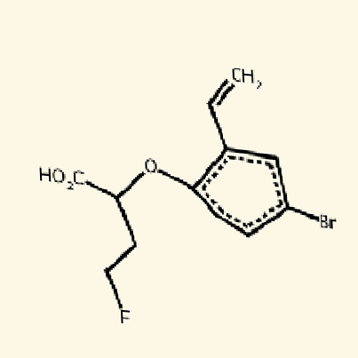 C=Cc1cc(Br)ccc1OC(CCF)C(=O)O